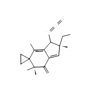 CC1=C2C(=C[C@@](C)(CO)C2N=[N+]=[N-])C(=O)[C@](C)(O)C12CC2